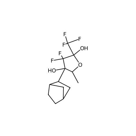 CC1OC(O)(C(F)(F)F)C(F)(F)C1(O)C1CC2CCC1C2